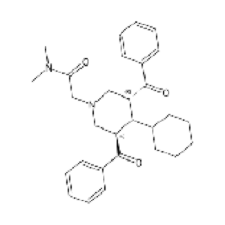 CN(C)C(=O)CN1C[C@H](C(=O)c2ccccc2)C(C2CCCCC2)[C@@H](C(=O)c2ccccc2)C1